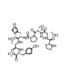 NC(=O)[C@H](Cc1ccc(O)cc1)NC(=O)[C@H](CO)NC(=O)[C@H](Cc1c[nH]cn1)NC(=O)[C@@H]1CCCN1C(=O)[C@H](CO)NC(=O)[C@H](CO)NC(=O)C1CCCN1